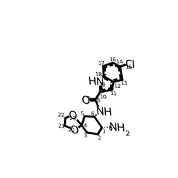 N[C@@H]1CCC2(C[C@@H]1NC(=O)c1cc3cc(Cl)ccc3[nH]1)OCCO2